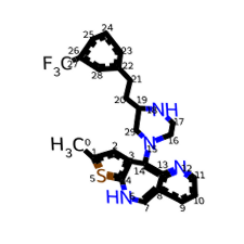 Cc1cc2c(s1)NC=c1cccnc1=C2N1CCNC(CCc2cccc(C(F)(F)F)c2)C1